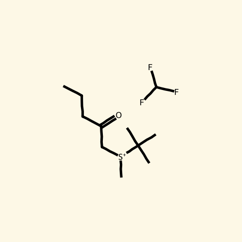 CCCC(=O)C[S+](C)C(C)(C)C.FC(F)F